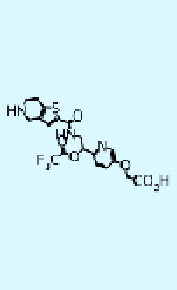 O=C(O)COc1ccc(C(CNC(=O)c2cc3c(s2)CCNC3)OC(=O)C(F)(F)F)nc1